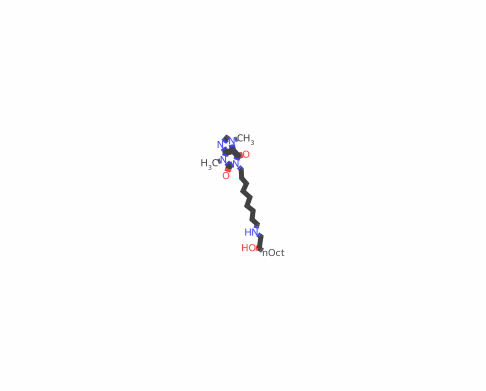 CCCCCCCCC(O)CNCCCCCCCCCn1c(=O)c2c(ncn2C)n(C)c1=O